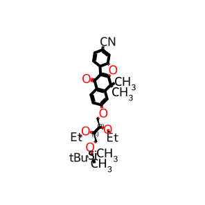 CCO[C@H](COc1ccc2c(c1)C(C)(C)C1=C(C2=O)C2C=CC(C#N)=CC2O1)[C@@H](CO[Si](C)(C)C(C)(C)C)OCC